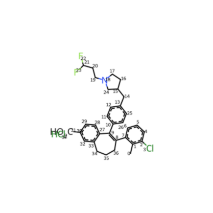 Cc1c(Cl)cccc1C1=C(c2ccc(CC3CCN(CCC(F)F)C3)cc2)c2ccc(C(=O)O)cc2CCC1.Cl